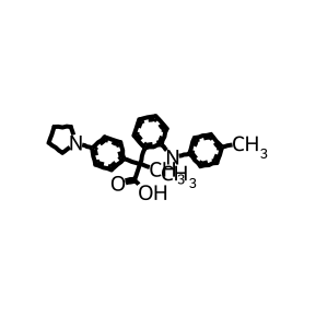 Cc1ccc(N(C)c2ccccc2C(C)(C(=O)O)c2ccc(N3CCCC3)cc2)cc1